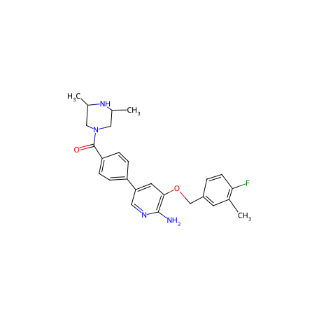 Cc1cc(COc2cc(-c3ccc(C(=O)N4CC(C)NC(C)C4)cc3)cnc2N)ccc1F